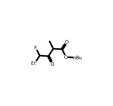 CCCCOC(=O)C(C)C(=O)C(F)CC